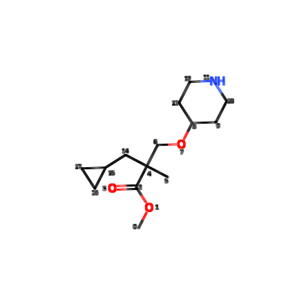 COC(=O)C(C)(COC1CCNCC1)CC1CC1